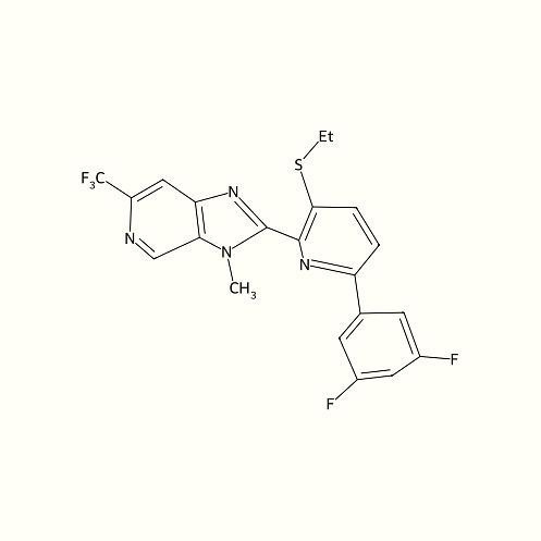 CCSc1ccc(-c2cc(F)cc(F)c2)nc1-c1nc2cc(C(F)(F)F)ncc2n1C